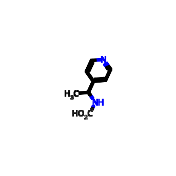 CC(NC(=O)O)c1ccncc1